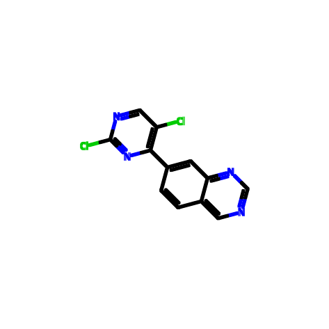 Clc1ncc(Cl)c(-c2ccc3cncnc3c2)n1